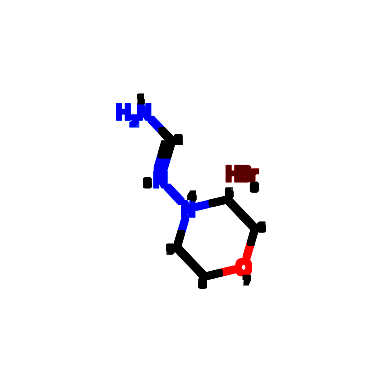 Br.NC=NN1CCOCC1